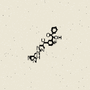 O=C(c1cnc(NCc2cncnc2)nc1)c1ccc(F)c(C(O)C(=O)c2ccccc2)c1